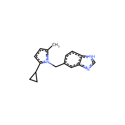 Cc1ccc(C2CC2)n1Cc1ccc2[nH]cnc2c1